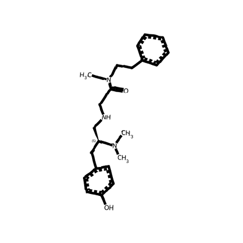 CN(CCc1ccccc1)C(=O)CNC[C@H](Cc1ccc(O)cc1)N(C)C